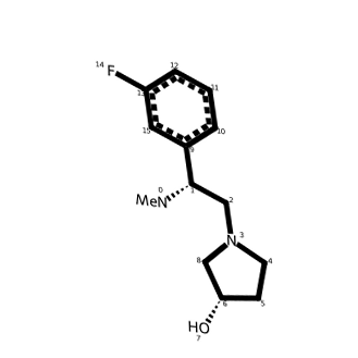 CN[C@@H](CN1CC[C@H](O)C1)c1cccc(F)c1